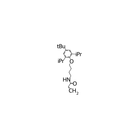 C=CC(=O)NCCCCOc1c(C(C)C)cc(C(C)(C)C)cc1C(C)C